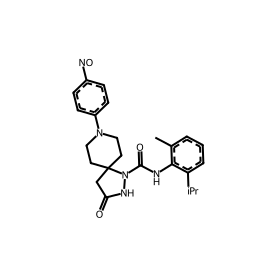 Cc1cccc(C(C)C)c1NC(=O)N1NC(=O)CC12CCN(c1ccc(N=O)cc1)CC2